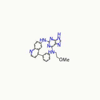 COCCNc1nc(Nc2ccc3nccc(-c4ccccc4)c3c2)nc2[nH]cnc12